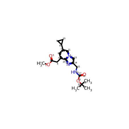 COC(=O)Cc1cc(C2CC2)cn2cc(CNC(=O)OC(C)(C)C)nc12